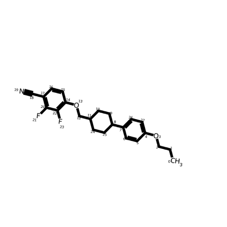 CCCOc1ccc(C2CCC(COc3ccc(C#N)c(F)c3F)CC2)cc1